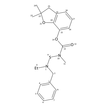 CCN(Cc1ccccc1)SN(C)C(=O)Oc1cccc2c1OC(C)(C)C2